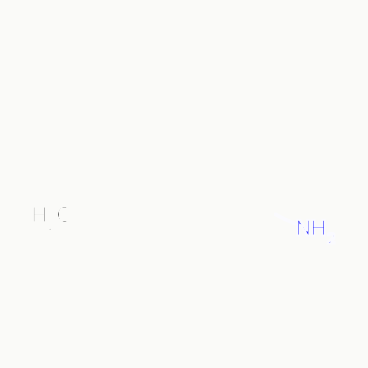 C=CC1CCCC(N)C1